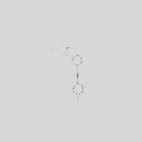 CC(N)C(=O)Nc1cccc(C#Cc2ccc(F)cc2F)n1